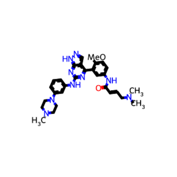 COc1ccc(NC(=O)/C=C/CN(C)C)cc1-c1nc(Nc2cccc(N3CCN(C)CC3)c2)nc2[nH]ncc12